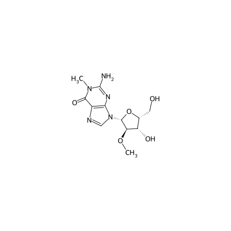 CO[C@@H]1[C@@H](O)[C@@H](CO)O[C@H]1n1cnc2c(=O)n(C)c(N)nc21